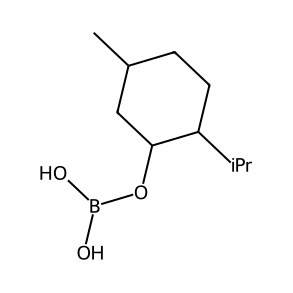 CC1CCC(C(C)C)C(OB(O)O)C1